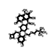 CN(c1c(C#N)c(=O)n(C)c2ccc(Cl)nc12)C1CCC(N(CC2COC2)c2ccc(F)cc2OCOCC[Si](C)(C)C)CC1